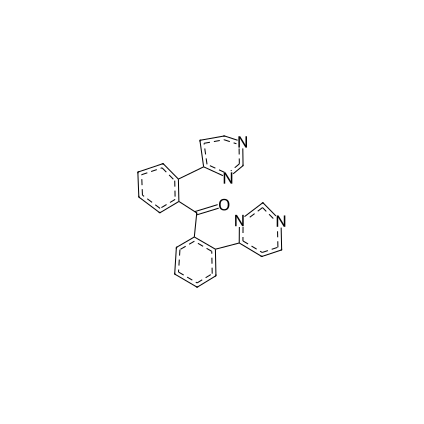 O=C(c1ccccc1-c1ccncn1)c1ccccc1-c1ccncn1